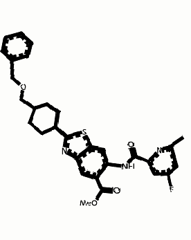 COC(=O)c1cc2nc(C3CCC(COCc4ccccc4)CC3)sc2cc1NC(=O)c1cc(F)cc(C)n1